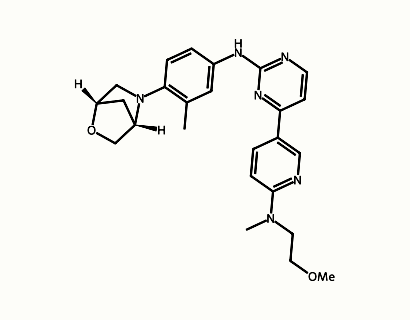 COCCN(C)c1ccc(-c2ccnc(Nc3ccc(N4C[C@@H]5C[C@H]4CO5)c(C)c3)n2)cn1